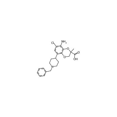 CC1(C(=O)O)COc2c(C3CCN(Cc4ccccc4)CC3)cc(Cl)c(N)c2O1